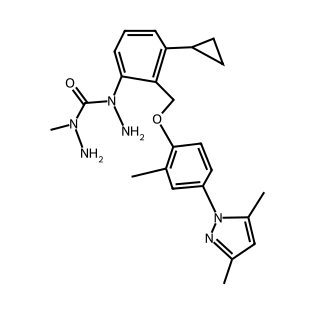 Cc1cc(C)n(-c2ccc(OCc3c(C4CC4)cccc3N(N)C(=O)N(C)N)c(C)c2)n1